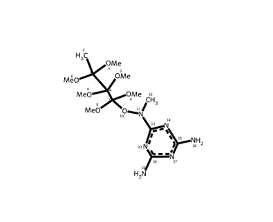 COC(C)(OC)C(OC)(OC)C(OC)(OC)ON(C)c1nc(N)nc(N)n1